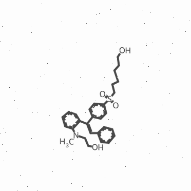 CN(CCO)c1ccccc1C(=Cc1ccccc1)c1ccc(S(=O)(=O)CCCCCCO)cc1